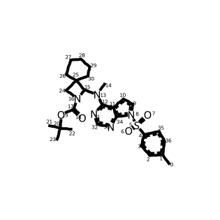 Cc1ccc(S(=O)(=O)n2ccc3c(N(C)C4N(C(=O)OC(C)(C)C)CC45CCCCC5)ncnc32)cc1